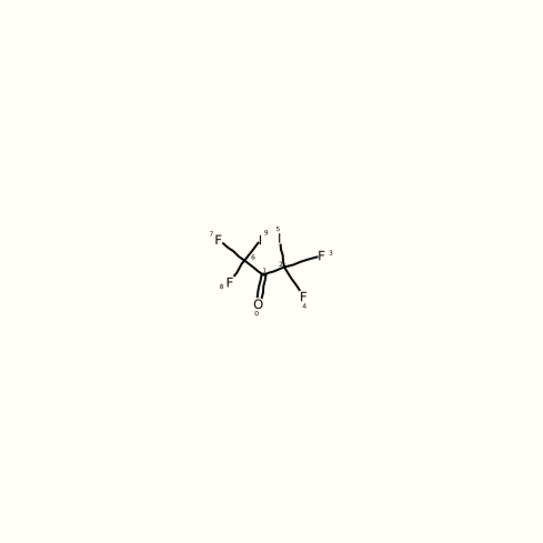 O=C(C(F)(F)I)C(F)(F)I